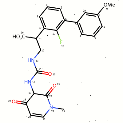 COc1cccc(-c2cccc(C(CNC(=O)NC3C(=O)C=CN(C)C3=O)C(=O)O)c2F)c1